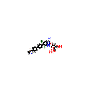 OC[C@H]1OC[C@H](Oc2nc3c(F)c(-c4ccc(-c5ccc(-c6nccs6)cc5)cc4)c(F)cc3[nH]2)C[C@@H]1O